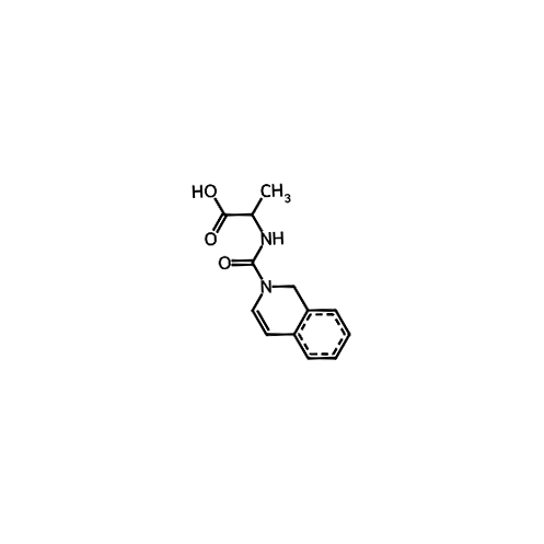 CC(NC(=O)N1C=Cc2ccccc2C1)C(=O)O